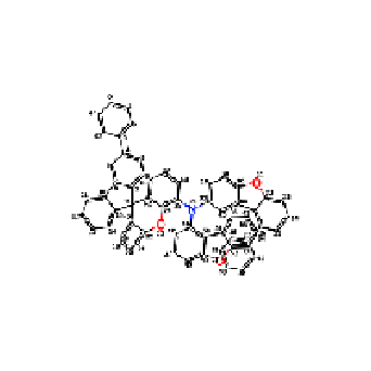 c1ccc(-c2ccc3c(c2)-c2ccccc2C32c3ccccc3Oc3c(N(c4ccc5oc6cccc(-c7ccccc7)c6c5c4)c4cccc5oc6ccccc6c45)cccc32)cc1